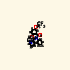 O=C(c1cc(OCC(F)(F)F)ccc1OCC(F)(F)F)N(Cc1ccccn1)C1CCCCC1